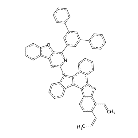 C=Cc1c(/C=C\C)ccc2c1sc1c3ccccc3c3c(c4ccccc4n3-c3nc(-c4cc(-c5ccccc5)cc(-c5ccccc5)c4)c4oc5ccccc5c4n3)c21